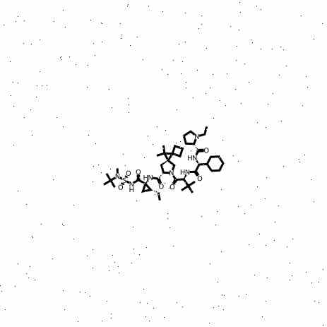 CC[C@@H]1C[C@]1(NC(=O)[C@@H]1C[C@@]2(CN1C(=O)[C@@H](NC(=O)[C@@H](NC(=O)[C@@H]1CCCN1CC)C1CCCCC1)C(C)(C)C)C(C)(C)C21CCC1)C(=O)NS(=O)(=O)N(C)C(C)(C)C